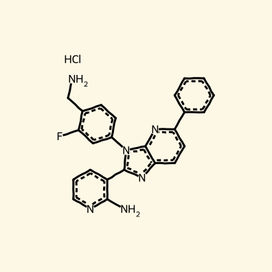 Cl.NCc1ccc(-n2c(-c3cccnc3N)nc3ccc(-c4ccccc4)nc32)cc1F